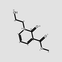 COC(=O)c1cccn(CCO)c1=O